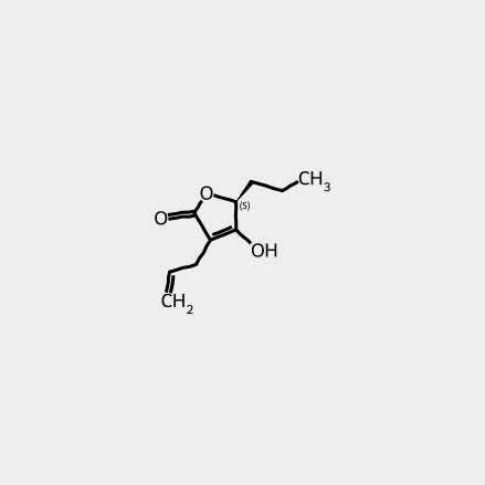 C=CCC1=C(O)[C@H](CCC)OC1=O